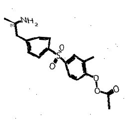 CC(=O)OOc1ccc(S(=O)(=O)c2ccc(C[C@@H](C)N)cc2)cc1C